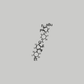 CCCCc1ccc(C2CCC(COc3ccc(C4CCC(CC)CC4)c(F)c3F)CC2)c(F)c1F